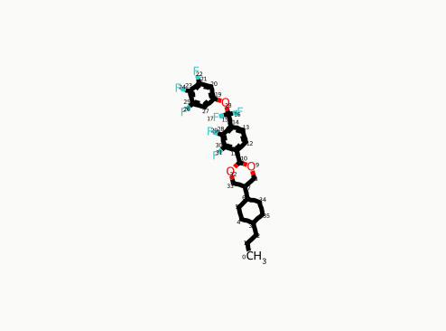 CCCC1CCC(C2COC(c3ccc(C(F)(F)Oc4cc(F)c(F)c(F)c4)c(F)c3F)OC2)CC1